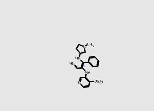 CN1CCC(N/C(=C(\C=N)Nc2cnccc2C(=O)O)c2ccccc2)C1